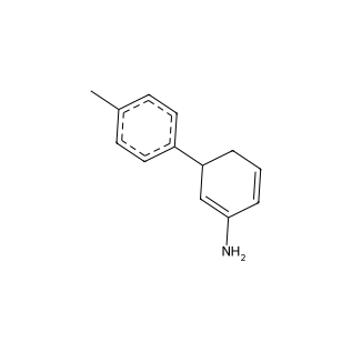 Cc1ccc(C2C=C(N)C=CC2)cc1